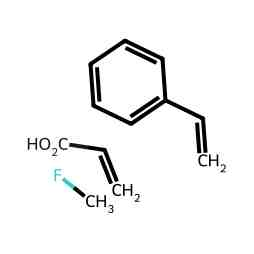 C=CC(=O)O.C=Cc1ccccc1.CF